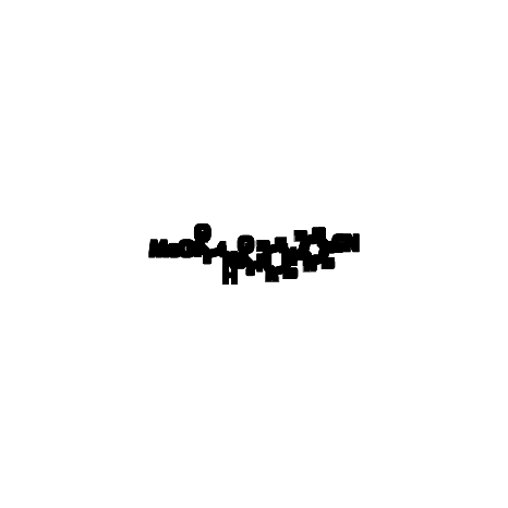 COC(=O)CCNC(=O)CN1CCN(c2ccc(C#N)cc2)CC1